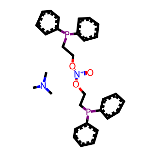 CN(C)C.O=[N+](OCCP(c1ccccc1)c1ccccc1)OCCP(c1ccccc1)c1ccccc1